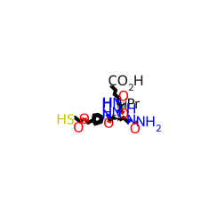 CC(C)[C@H](NC(=O)CCCC(=O)O)C(=O)N[C@@H](CCCNC(N)=O)C(=O)Nc1ccc(COC(=O)CS)cc1